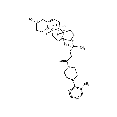 CC(CCC(=O)N1CCN(c2ncncc2N)CC1)[C@H]1CC[C@H]2[C@@H]3CC=C4C[C@@H](O)CC[C@]4(C)[C@H]3CC[C@]12C